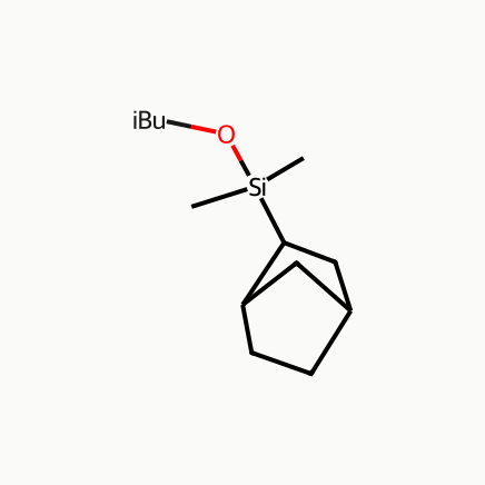 CCC(C)O[Si](C)(C)C1CC2CCC1C2